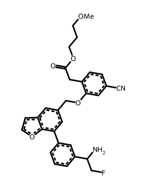 COCCCOC(=O)Cc1ccc(C#N)cc1OCc1cc(-c2cccc(C(N)CF)c2)c2occc2c1